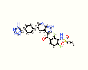 CS(=O)(=O)Nc1c(F)ccc(C(=O)c2n[nH]c3ncc(-c4ccc(-c5nnn[nH]5)cc4)cc23)c1F